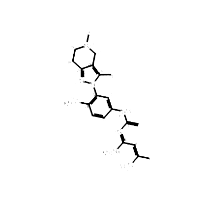 C=C(/N=C(\C=C(\C)N)NC)Nc1ccc(OC)c(-n2nc3c(c2C)CN(C)CC3)c1